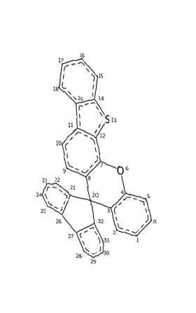 c1ccc2c(c1)Oc1c(ccc3c1sc1ccccc13)C21c2ccccc2-c2ccccc21